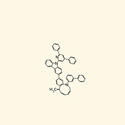 C=C1/C=C\C=C/CN(c2cccc(-c3ccccc3)c2)c2cc(-c3ccc4c(c3)c3ccccc3n4-c3cc(-c4ccccc4)cc(-c4ccccc4)n3)ccc21